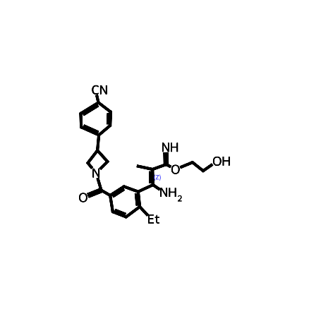 CCc1ccc(C(=O)N2CC(c3ccc(C#N)cc3)C2)cc1/C(N)=C(\C)C(=N)OCCO